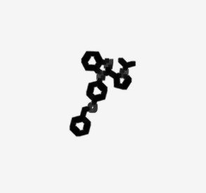 CC(C)n1cccc1-c1nc2ccccc2n1-c1ccc(OCc2ccccc2)cc1